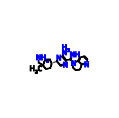 C[C@]1(CN)CC[C@H](c2cnc(C(=N)N3CCCc4ncccc43)c(N)n2)CC1